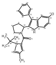 Cc1cc(C(=O)N2CCCC2c2[nH]c3ccc(Cl)cc3c2-c2ccccc2)n(C(C)(C)C)n1